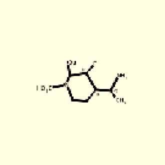 C[C@H](N)[C@H]1CCN(C(=O)O)C(C(C)(C)C)[C@H]1F